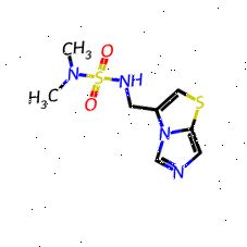 CN(C)S(=O)(=O)NCc1csc2cncn12